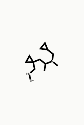 CC(C)NCC1(CC(C)N(C)CC2CC2)CC1